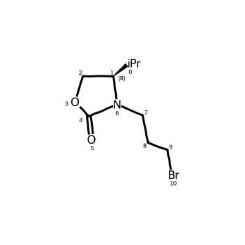 CC(C)[C@@H]1COC(=O)N1CCCBr